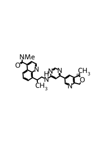 CNC(=O)c1ccnc2c(C(C)CNc3cc(-c4cnc5c(c4)[C@@H](C)OC5)ncn3)cccc12